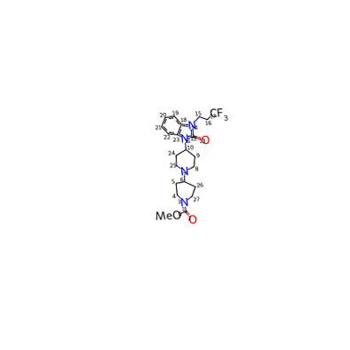 COC(=O)N1CCC(N2CCC(n3c(=O)n(CCC(F)(F)F)c4ccccc43)CC2)CC1